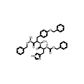 CCN(OCc1ccccc1)C(=O)C(Cc1ccc(OCc2ccccc2)cc1)N(C)C(=O)C(Cc1c[nH]cn1)NC(=O)OCc1ccccc1